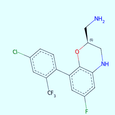 NC[C@H]1CNc2cc(F)cc(-c3ccc(Cl)cc3C(F)(F)F)c2O1